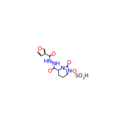 O=C(NNC(=O)C1CCC2CN1C(=O)N2OS(=O)(=O)O)c1ccoc1